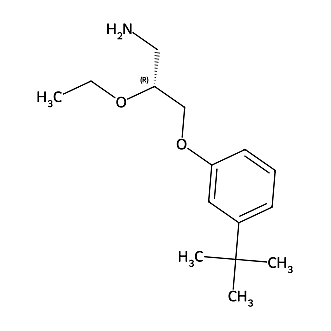 CCO[C@H](CN)COc1cccc(C(C)(C)C)c1